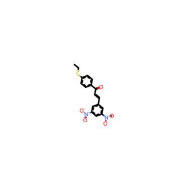 CCSc1ccc(C(=O)C=Cc2cc([N+](=O)[O-])cc([N+](=O)[O-])c2)cc1